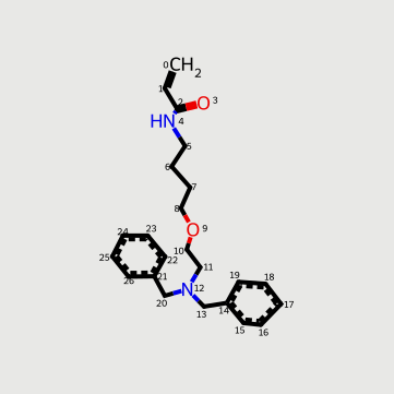 C=CC(=O)NCCCCOCCN(Cc1ccccc1)Cc1ccccc1